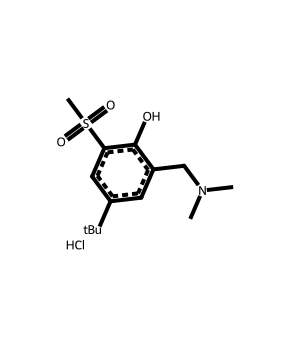 CN(C)Cc1cc(C(C)(C)C)cc(S(C)(=O)=O)c1O.Cl